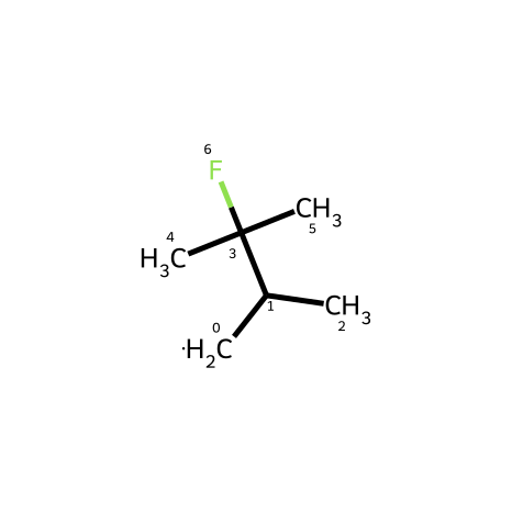 [CH2]C(C)C(C)(C)F